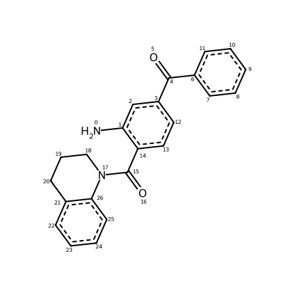 Nc1cc(C(=O)c2ccccc2)ccc1C(=O)N1CCCc2ccccc21